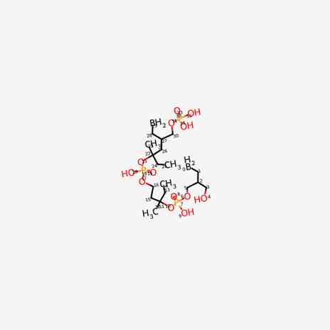 BCC(CO)COP(=O)(O)OC(C)(CC)CCOP(=O)(O)OC(C)(CC)CC(CB)COP(=O)(O)O